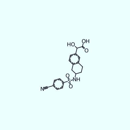 N#Cc1ccc(S(=O)(=O)NC2CCc3cc(C(O)C(=O)O)ccc3C2)cc1